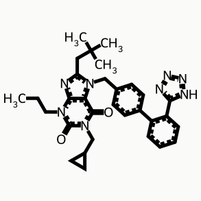 CCCn1c(=O)n(CC2CC2)c(=O)c2c1nc(CC(C)(C)C)n2Cc1ccc(-c2ccccc2-c2nnn[nH]2)cc1